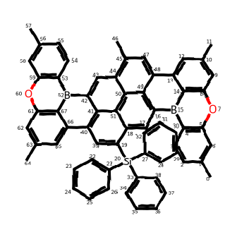 Cc1ccc2c(c1)Oc1cc(C)cc3c1B2c1cc2c([Si](c4ccccc4)(c4ccccc4)c4ccccc4)cc4c5c(cc6c(C)cc-3c1c6c25)B1c2ccc(C)cc2Oc2cc(C)cc-4c21